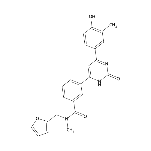 Cc1cc(-c2cc(-c3cccc(C(=O)N(C)Cc4ccco4)c3)[nH]c(=O)n2)ccc1O